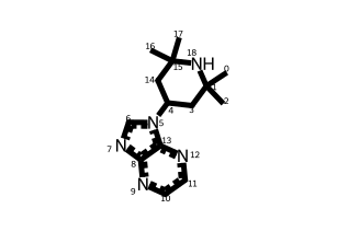 CC1(C)CC(n2cnc3nccnc32)CC(C)(C)N1